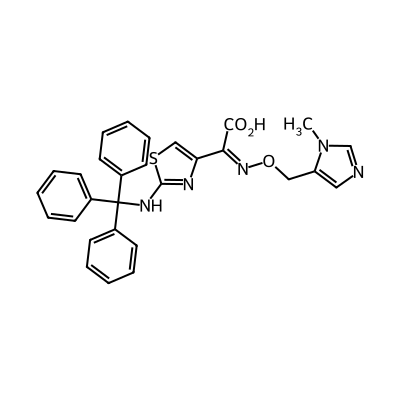 Cn1cncc1CON=C(C(=O)O)c1csc(NC(c2ccccc2)(c2ccccc2)c2ccccc2)n1